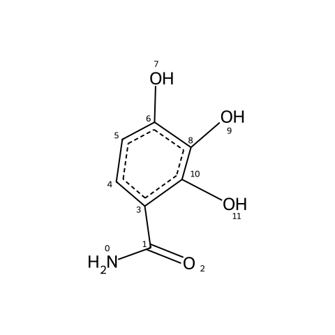 NC(=O)c1ccc(O)c(O)c1O